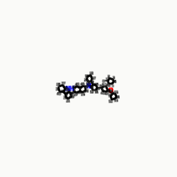 Cc1ccccc1-c1cc(-c2ccc3c(c2)c2ccccc2n3-c2ccc3cc(-c4cccc5c4[nH]c4ccccc45)ccc3c2)ccc1Oc1ccccc1